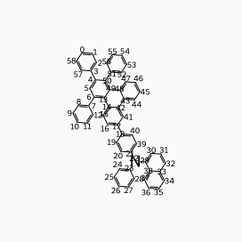 c1ccc(-c2cc(-c3ccccc3)c3c4ccc(-c5ccc(N(c6ccccc6)c6cccc7ccccc67)cc5)cc4c4ccccc4c3c2-c2ccccc2)cc1